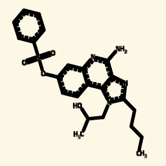 CCCCc1nc2c(N)nc3cc(OS(=O)(=O)c4ccccc4)ccc3c2n1CC(C)O